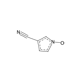 N#Cc1ccn([O])c1